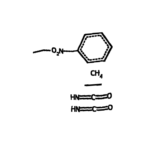 C.CC.CC.N=C=O.N=C=O.O=[N+]([O-])c1ccccc1